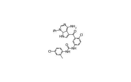 Cc1cc(Cl)ccc1NC(=O)Nc1ccc(Cl)c(C(=O)C2=CNC3C2=C(N)N=CN3C(C)C)c1